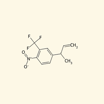 C=C[C](C)c1ccc([N+](=O)[O-])c(C(F)(F)F)c1